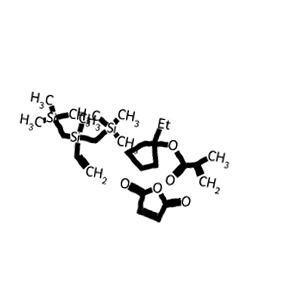 C=C(C)C(=O)OC1(CC)CCCC1.C=C[Si](C)(C[Si](C)(C)C)C[Si](C)(C)C.O=C1C=CC(=O)O1